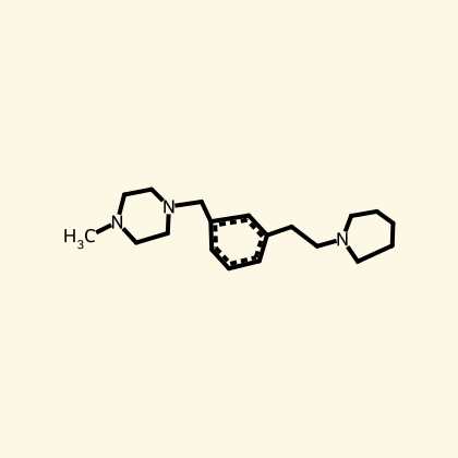 CN1CCN(Cc2cccc(CCN3CCCCC3)c2)CC1